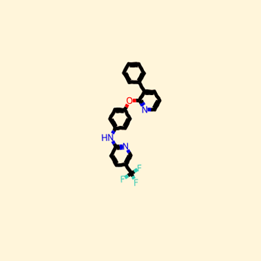 FC(F)(F)c1ccc(Nc2ccc(Oc3ncccc3-c3ccccc3)cc2)nc1